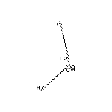 CCCCCCCCCCCCCCCCCC[C@@H](O)CSC[C@@H](NC(=O)CCCCCCCCCCCCCCC)C(=O)O